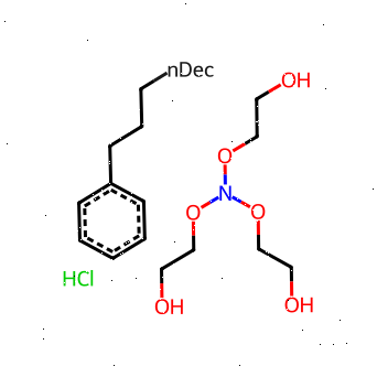 CCCCCCCCCCCCCc1ccccc1.Cl.OCCON(OCCO)OCCO